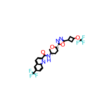 O=C(N[C@@H]1CC[C@@H](c2nnc(C3CC(OC(F)(F)F)C3)o2)OC1)c1ccc2cc(C(F)(F)F)ccc2n1